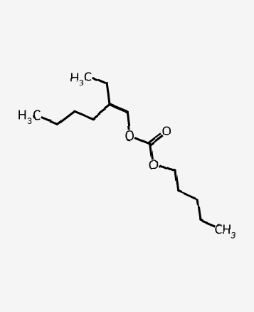 CCCCCOC(=O)OCC(CC)CCCC